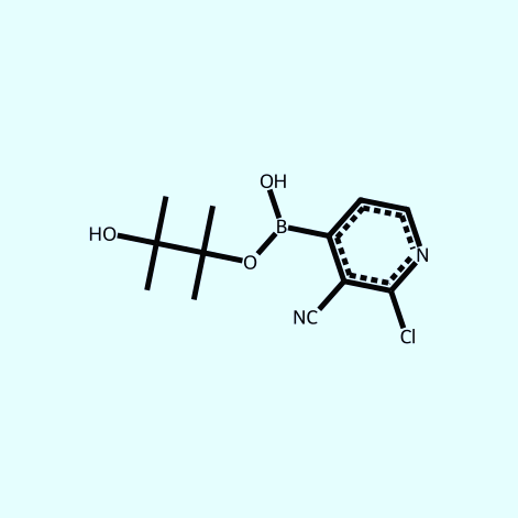 CC(C)(O)C(C)(C)OB(O)c1ccnc(Cl)c1C#N